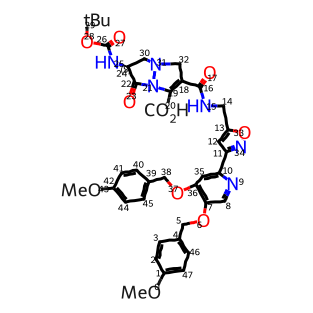 COc1ccc(COc2cnc(-c3cc(CNC(=O)C4=C(C(=O)O)N5C(=O)[C@@H](NC(=O)OC(C)(C)C)CN5C4)on3)cc2OCc2ccc(OC)cc2)cc1